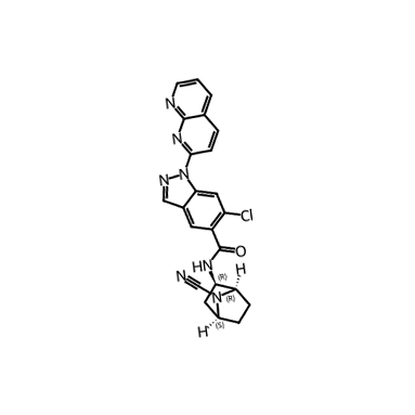 N#CN1[C@H]2CC[C@@H]1[C@H](NC(=O)c1cc3cnn(-c4ccc5cccnc5n4)c3cc1Cl)C2